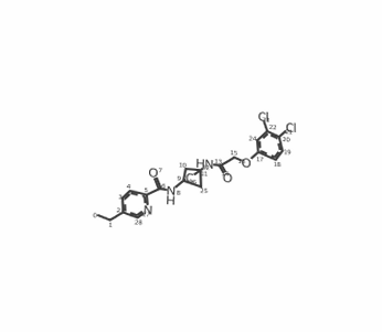 CCc1ccc(C(=O)NC23CC(NC(=O)COc4ccc(Cl)c(Cl)c4)(C2)C3)nc1